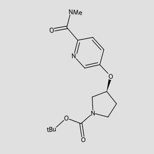 CNC(=O)c1ccc(O[C@H]2CCN(C(=O)OC(C)(C)C)C2)cn1